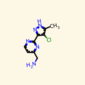 Cc1[nH]nc(-c2nccc(CN)n2)c1Cl